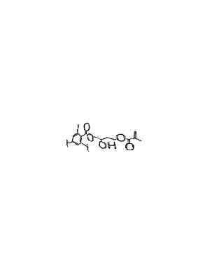 C=C(C)C(=O)OCCC(O)COC(=O)c1c(I)cc(I)cc1I